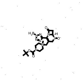 Bn1nnc(C2=C(C[N+]3(C)CCN(C(=O)OC(C)(C)C)CC3)C[S+]([O-])[C@@H]3CC(=O)N23)n1